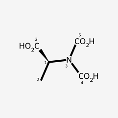 C[C@@H](C(=O)O)N(C(=O)O)C(=O)O